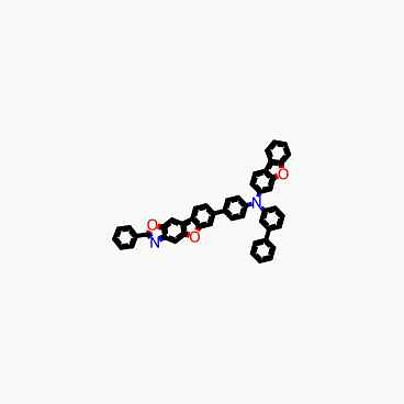 c1ccc(-c2cccc(N(c3ccc(-c4ccc5c(c4)oc4cc6nc(-c7ccccc7)oc6cc45)cc3)c3ccc4c(c3)oc3ccccc34)c2)cc1